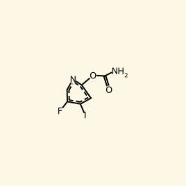 NC(=O)Oc1cc(I)c(F)cn1